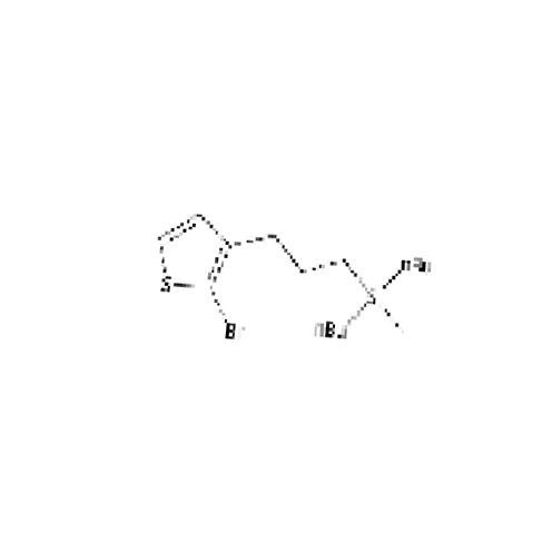 CCCC[Si](C)(CCCC)CCCc1ccsc1Br